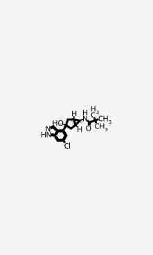 CC(C)(C)C(=O)N[C@H]1[C@@H]2C[C@](O)(c3cc(Cl)cc4[nH]ncc34)C[C@@H]21